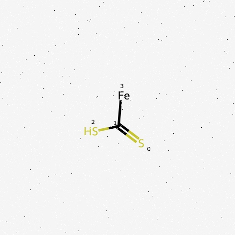 S=[C](S)[Fe]